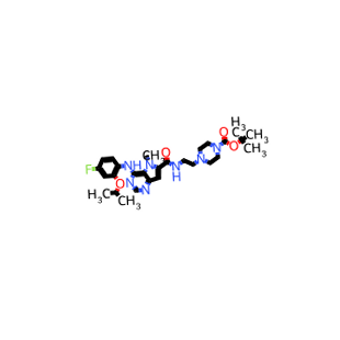 CC(C)Oc1cc(F)ccc1Nc1ncnc2cc(C(=O)NCCN3CCN(C(=O)OC(C)(C)C)CC3)n(C)c12